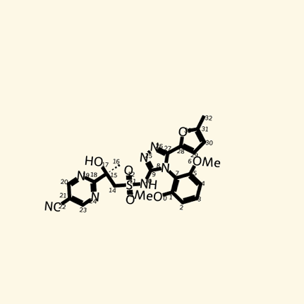 COc1cccc(OC)c1-n1c(NS(=O)(=O)C[C@](C)(O)c2ncc(C#N)cn2)nnc1-c1ccc(C)o1